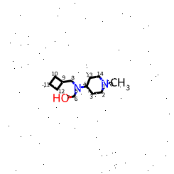 CN1CCC(N(CO)CC2CCC2)CC1